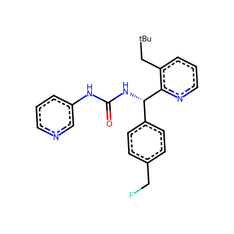 CC(C)(C)Cc1cccnc1[C@@H](NC(=O)Nc1cccnc1)c1ccc(CF)cc1